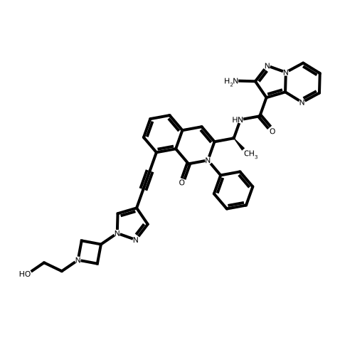 C[C@H](NC(=O)c1c(N)nn2cccnc12)c1cc2cccc(C#Cc3cnn(C4CN(CCO)C4)c3)c2c(=O)n1-c1ccccc1